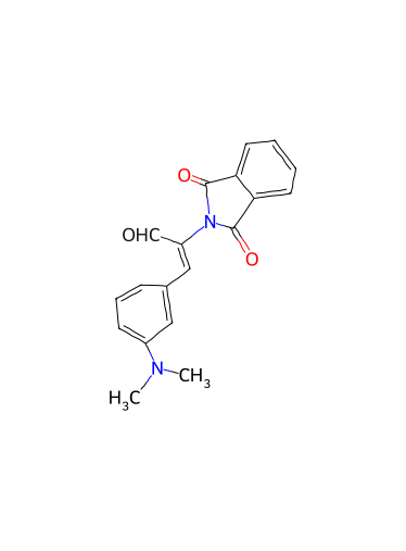 CN(C)c1cccc(C=C(C=O)N2C(=O)c3ccccc3C2=O)c1